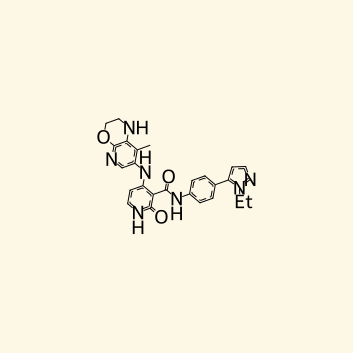 CCn1nccc1-c1ccc(NC(=O)c2c(Nc3cnc4c(c3C)NCCO4)cc[nH]c2=O)cc1